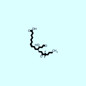 CCCCC(F)(F)C(=O)CC[C@@H](CC/C=C\CCCCCC(=O)O)[C@H](O)CC=O